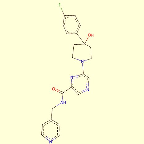 O=C(NCc1ccncc1)c1cncc(N2CCC(O)(c3ccc(F)cc3)CC2)n1